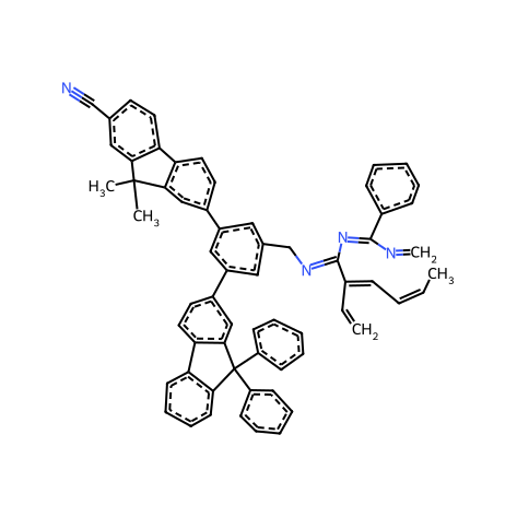 C=CC(=C\C=C/C)/C(=N/Cc1cc(-c2ccc3c(c2)C(C)(C)c2cc(C#N)ccc2-3)cc(-c2ccc3c(c2)C(c2ccccc2)(c2ccccc2)c2ccccc2-3)c1)/N=C(\N=C)c1ccccc1